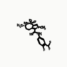 C[C@H]1CCc2c(cn(C)c2C(=N)Nc2ccc(F)c(C(F)F)c2)S(=O)(=O)N1